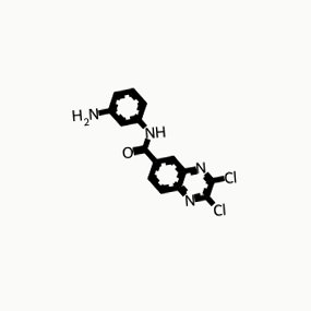 Nc1cccc(NC(=O)c2ccc3nc(Cl)c(Cl)nc3c2)c1